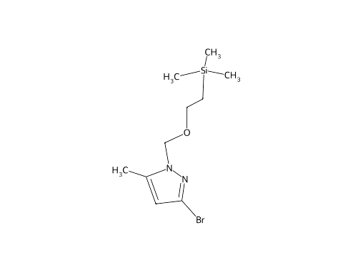 Cc1cc(Br)nn1COCC[Si](C)(C)C